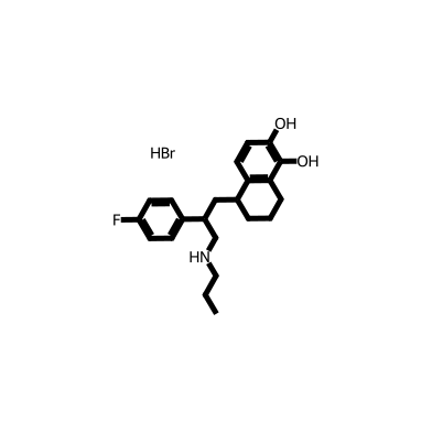 Br.CCCNCC(CC1CCCc2c1ccc(O)c2O)c1ccc(F)cc1